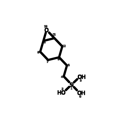 O[Si](O)(O)CCC1CCC2OC2C1